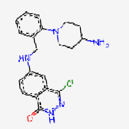 NC1CCN(c2ccccc2CNc2ccc3c(=O)[nH]nc(Cl)c3c2)CC1